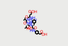 CC(C)C[C@H](NC(=O)[C@@H](NC(=O)[C@@H](N)CCC(=O)O)C(C)C)C(=O)N[C@@H](Cc1ccccc1)[C@@H](O)C(=O)Nc1ccc(CC(=O)O)cc1